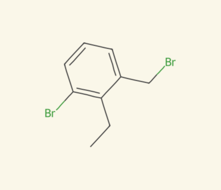 CCc1c(Br)cccc1CBr